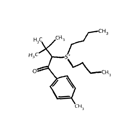 CCCC[S+](CCCC)C(C(=O)c1ccc(C)cc1)C(C)(C)C